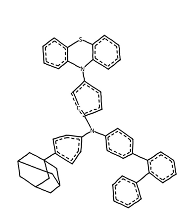 c1ccc(-c2ccccc2-c2ccc(N(c3ccc(N4c5ccccc5Sc5ccccc54)cc3)c3ccc(C45CC6CC(CC(C6)C4)C5)cc3)cc2)cc1